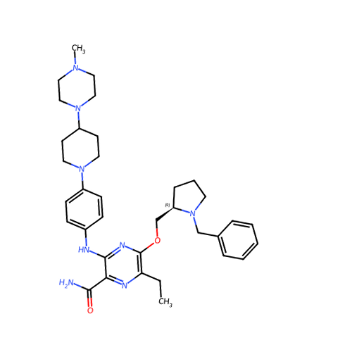 CCc1nc(C(N)=O)c(Nc2ccc(N3CCC(N4CCN(C)CC4)CC3)cc2)nc1OC[C@H]1CCCN1Cc1ccccc1